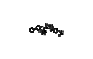 CC(=O)Nc1ccc(OP(=O)(O)CN[C@@H](Cc2ccc(-c3ccccc3)cc2)c2nnn[nH]2)cc1